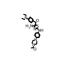 CCN(CC)c1ccc(C(=O)c2sc(Nc3ccc(N4CCN(C(C)=O)CC4)cc3)nc2N)cc1